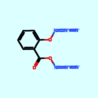 [N-]=[N+]=NOC(=O)c1ccccc1ON=[N+]=[N-]